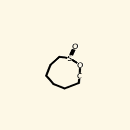 O=S1CCCCCCCO1